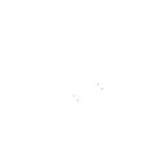 CC(C)N1CCN(C(C)C)CC1.O=Cc1ccccc1